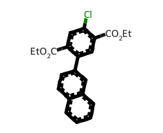 CCOC(=O)c1cc(-c2ccc3ccccc3c2)c(C(=O)OCC)cc1Cl